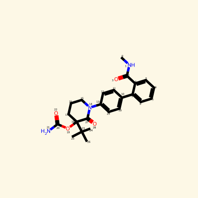 CNC(=O)c1ccccc1-c1ccc(N2CCCC(OC(N)=O)(C(C)(C)C)C2=O)cc1